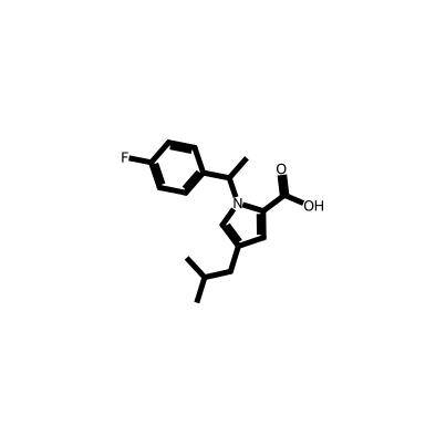 CC(C)Cc1cc(C(=O)O)n(C(C)c2ccc(F)cc2)c1